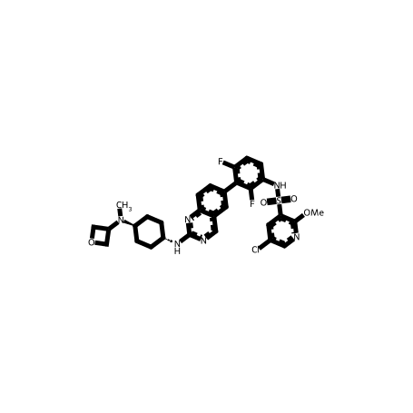 COc1ncc(Cl)cc1S(=O)(=O)Nc1ccc(F)c(-c2ccc3nc(N[C@H]4CC[C@H](N(C)C5COC5)CC4)ncc3c2)c1F